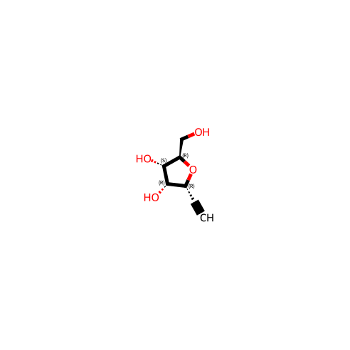 C#C[C@H]1O[C@H](CO)[C@@H](O)[C@H]1O